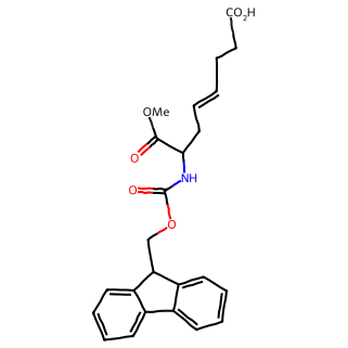 COC(=O)C(CC=CCCC(=O)O)NC(=O)OCC1c2ccccc2-c2ccccc21